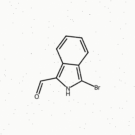 O=Cc1[nH]c(Br)c2ccccc12